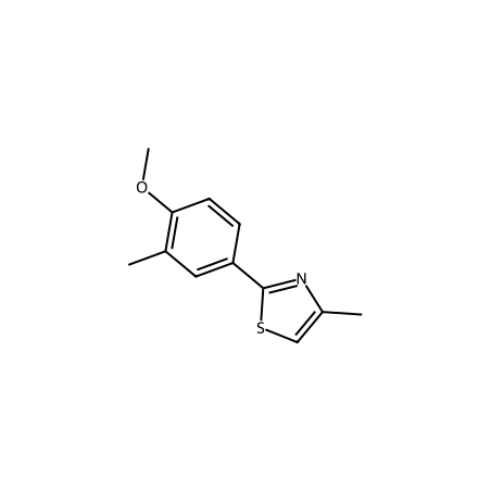 COc1ccc(-c2nc(C)cs2)cc1C